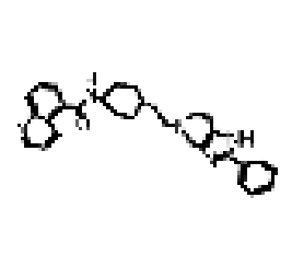 O=C(N[C@H]1CC[C@H](CCN2CCc3[nH]c(-c4ccccc4)nc3C2)CC1)c1cccc2ncccc12